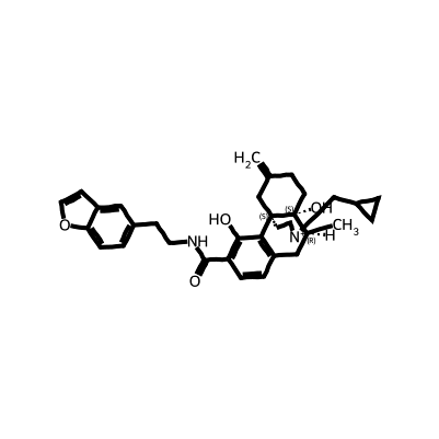 C=C1CC[C@@]2(O)[C@H]3Cc4ccc(C(=O)NCCc5ccc6occc6c5)c(O)c4[C@@]2(CC[N+]3(C)CC2CC2)C1